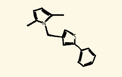 Cc1ccc(C)n1Cc1csc(-c2ccccc2)c1